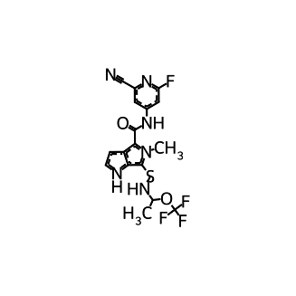 CC(NSc1c2[nH]ccc2c(C(=O)Nc2cc(F)nc(C#N)c2)n1C)OC(F)(F)F